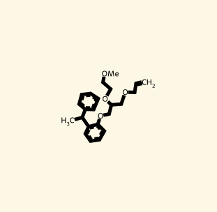 C=CCOCC(COc1ccccc1C(C)c1ccccc1)OCCOC